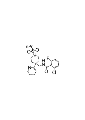 CCCS(=O)(=O)N1CCC(CNC(=O)c2c(F)cccc2Cl)(c2ccccn2)CC1